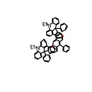 CCN1c2ccccc2C(c2ccccc2)(c2ccccc2)c2c(-c3cccc4c(-c5ccccc5)c5cccc(-c6cccc7c6C(c6ccccc6)(c6ccccc6)c6ccccc6N7CC)c5cc34)cccc21